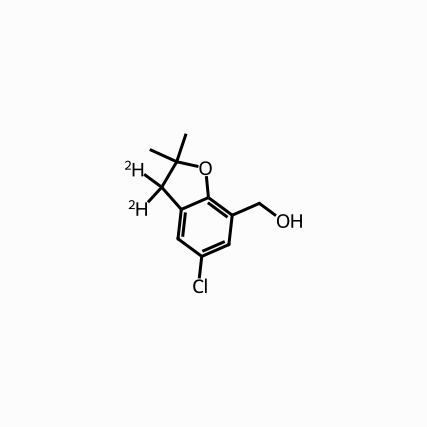 [2H]C1([2H])c2cc(Cl)cc(CO)c2OC1(C)C